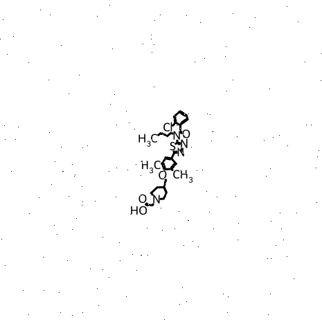 CCCCN(C(=O)c1ccccc1Cl)c1nnc(-c2cc(C)c(OCC3CCN(CC(=O)O)CC3)c(C)c2)s1